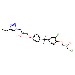 CCc1cn(C[C@@H](O)COc2ccc(C(C)(C)c3ccc(OC[C@@H](O)CCl)c(F)c3)cc2)nn1